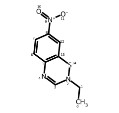 CCN1C=Nc2ccc([N+](=O)[O-])cc2S1